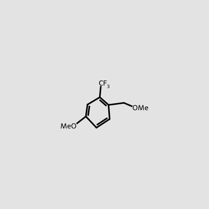 COCc1ccc(OC)cc1C(F)(F)F